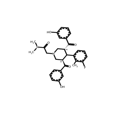 Cc1c(F)cccc1C1[C@@H](C(=O)c2cccc(O)c2)CN(CC(=O)N(C)C)C[C@@H]1C(=O)c1cccc(O)c1